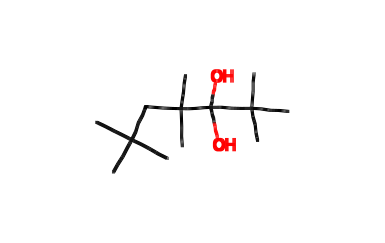 CC(C)(C)CC(C)(C)C(O)(O)C(C)(C)C